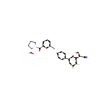 N#Cc1coc2c(-c3ccc(OCc4cccc(C(=O)N5CCC[C@H]5C(=O)O)c4)cc3)cc(F)c(F)c12